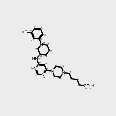 O=C(O)CCCCN1CCN(c2cc(N[C@@H]3CCCN(c4cccc(F)c4)C3)ncn2)CC1